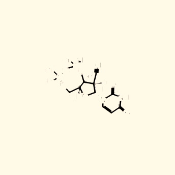 C#C[C@@]1(O)[C@@H]2O[Si](C(C)C)(C(C)C)O[Si](C(C)C)(C(C)C)OC[C@H]2O[C@H]1n1ccc(=O)[nH]c1=O